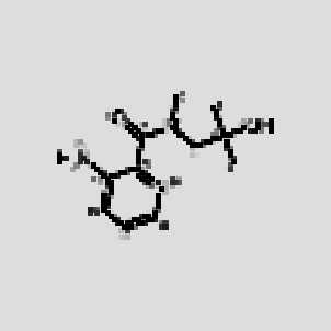 CN(CC(C)(C)O)C(=O)c1ncccc1N